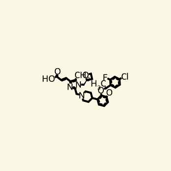 Cc1c(/C=C/C(=O)O)nc(CN2CCC(c3cccc4c3O[C@@](C)(c3ccc(Cl)cc3F)O4)CC2)n1C[C@@H]1CCO1